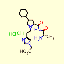 C[C@H](N)C(=O)NC(=O)[C@@H]1CC(C2CCCCC2)CN1CCc1cn(CC(=O)O)cn1.Cl.Cl